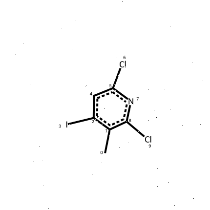 Cc1c(I)cc(Cl)nc1Cl